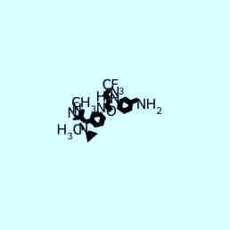 CN(C1CC1)C(c1cccc(NC(=O)c2cc(C(F)(F)F)nn2-c2cccc(CN)c2)c1)c1cnn(C)c1